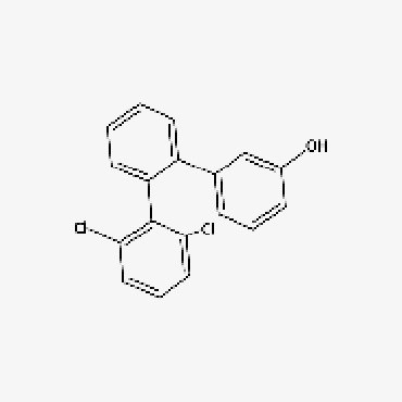 Oc1cccc(-c2ccccc2-c2c(Cl)cccc2Cl)c1